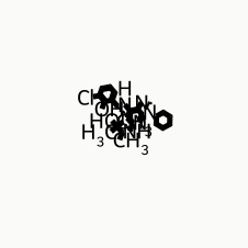 CC(Nc1nc(NCc2cccc(Cl)c2O)c2ncn(C3CCCCC3)c2n1)C(C)(C)O